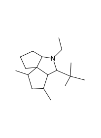 CCN1C(C(C)(C)C)C2C(C)CC(C)C23CCCC13